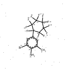 Cc1cc(C2(F)C(F)(F)C(F)(F)C(F)(F)C(F)(F)C2(F)F)cc(Br)c1N